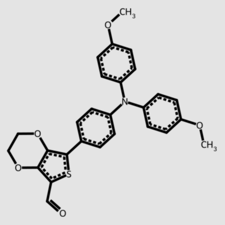 COc1ccc(N(c2ccc(OC)cc2)c2ccc(-c3sc(C=O)c4c3OCCO4)cc2)cc1